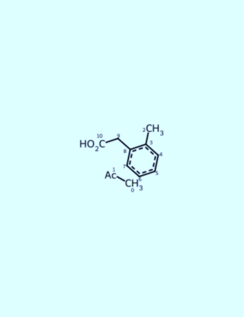 CC(C)=O.Cc1ccccc1CC(=O)O